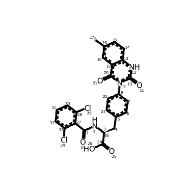 O=C(N[C@@H](Cc1ccc(-n2c(=O)[nH]c3ccc(I)cc3c2=O)cc1)C(=O)O)c1c(Cl)cccc1Cl